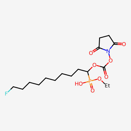 CCOP(=O)(O)C(CCCCCCCCCF)OC(=O)ON1C(=O)CCC1=O